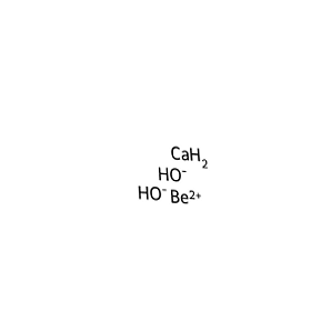 [Be+2].[CaH2].[OH-].[OH-]